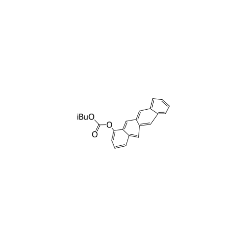 CC(C)COC(=O)Oc1cccc2cc3cc4ccccc4cc3cc12